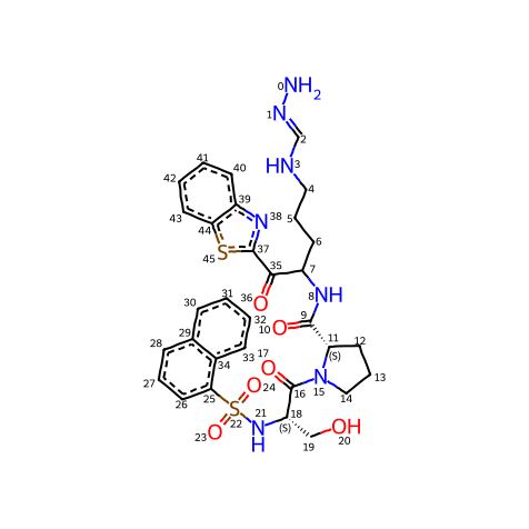 NN=CNCCCC(NC(=O)[C@@H]1CCCN1C(=O)[C@H](CO)NS(=O)(=O)c1cccc2ccccc12)C(=O)c1nc2ccccc2s1